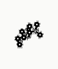 FC(F)(F)c1cc(-c2nc(-c3ccccc3)nc(-c3ccccc3)n2)c2c(oc3ccccc32)c1-n1c2ccccc2c2c3c4cccc5c6ccccc6n(c3ccc21)c54